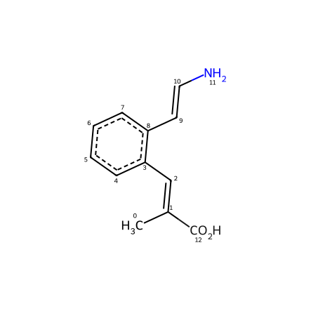 C/C(=C\c1ccccc1/C=C/N)C(=O)O